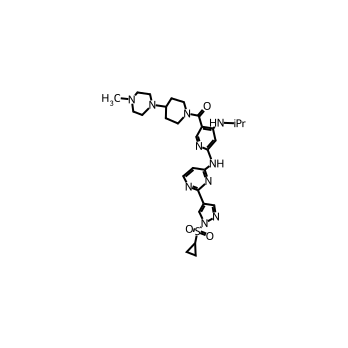 CC(C)Nc1cc(Nc2ccnc(-c3cnn(S(=O)(=O)C4CC4)c3)n2)ncc1C(=O)N1CCC(N2CCN(C)CC2)CC1